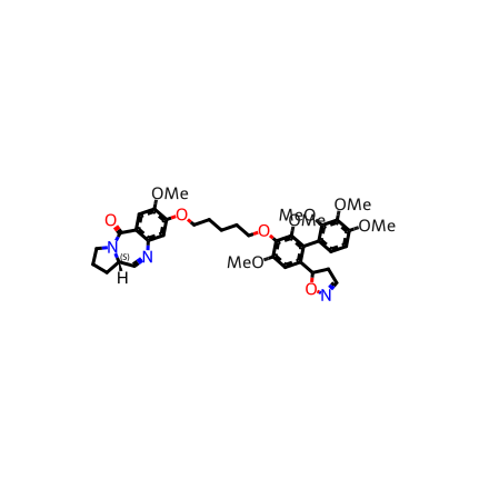 COc1cc2c(cc1OCCCCCOc1c(OC)cc(C3CC=NO3)c(-c3ccc(OC)c(OC)c3OC)c1OC)N=C[C@@H]1CCCN1C2=O